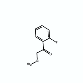 CC(C)(C)[N]CC(=O)c1ccccc1F